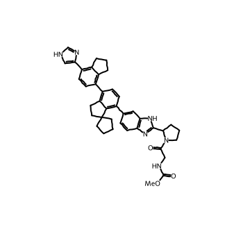 COC(=O)NCC(=O)N1CCCC1c1nc2ccc(-c3ccc(-c4ccc(-c5c[nH]cn5)c5c4CCC5)c4c3C3(CCCC3)CC4)cc2[nH]1